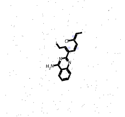 C\C=C(Cl)/C=C\C(=C\CI)c1nc(N)c2ccccc2n1